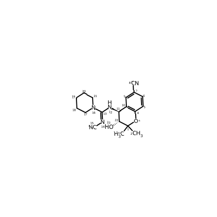 CC1(C)Oc2ccc(C#N)cc2[C@H](N/C(=N/C#N)N2CCCCC2)[C@H]1O